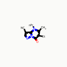 CCCn1c(C)c(CC)c(=O)n2ncc(C#N)c12